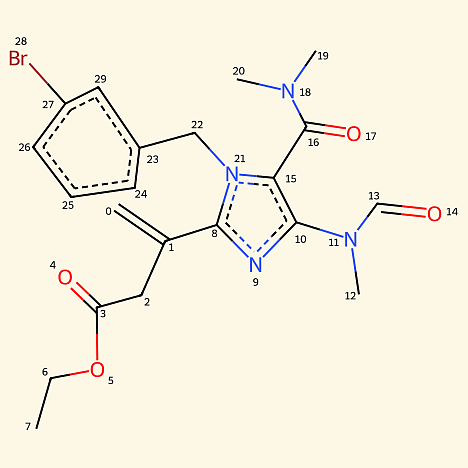 C=C(CC(=O)OCC)c1nc(N(C)C=O)c(C(=O)N(C)C)n1Cc1cccc(Br)c1